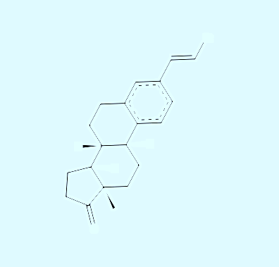 CC/C=C/c1ccc2c(c1)CC[C@@H]1[C@@H]2CC[C@]2(C)C(=O)CC[C@@H]12